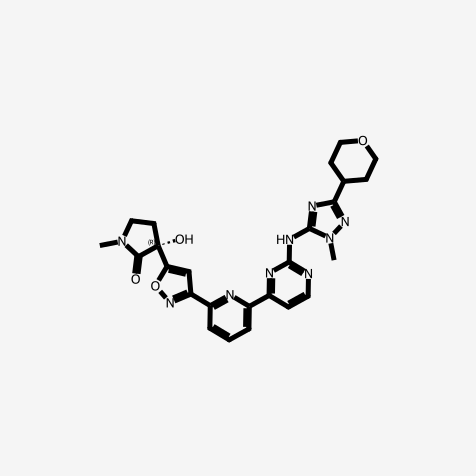 CN1CC[C@@](O)(c2cc(-c3cccc(-c4ccnc(Nc5nc(C6CCOCC6)nn5C)n4)n3)no2)C1=O